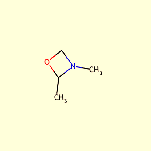 CC1OCN1C